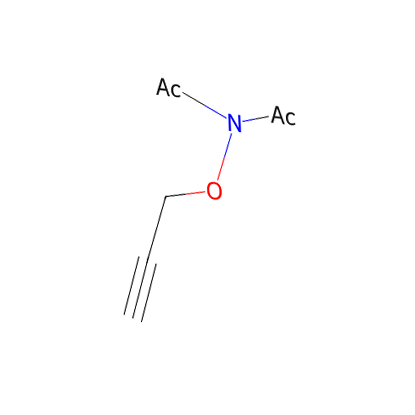 C#CCON(C(C)=O)C(C)=O